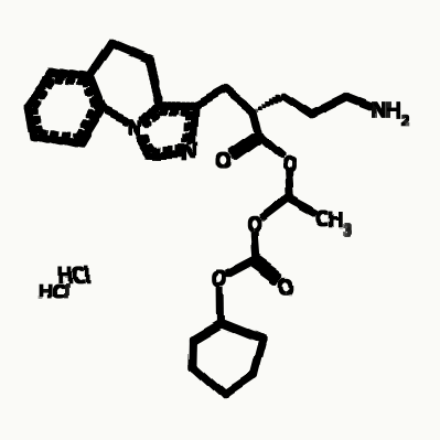 CC(OC(=O)OC1CCCCC1)OC(=O)[C@@H](CCCN)Cc1ncn2c1CCc1ccccc1-2.Cl.Cl